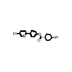 CCC[C@H]1CC[C@H](C(=O)Oc2ccc(-c3ccc(CC)cn3)cc2)CC1